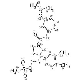 Cc1ccc([C@@]2(CCOS(C)(=O)=O)CCN(C(=O)Cc3cccc(OC(C)C)c3)C2)cc1C